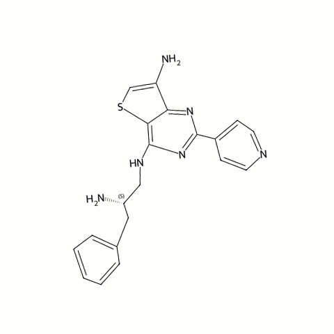 Nc1csc2c(NC[C@@H](N)Cc3ccccc3)nc(-c3ccncc3)nc12